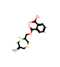 C=C1CSCC(COC(=O)c2ccccc2C(=O)O)SC1